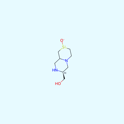 [O-][S+]1CCN2C[C@@H](CO)NCC2C1